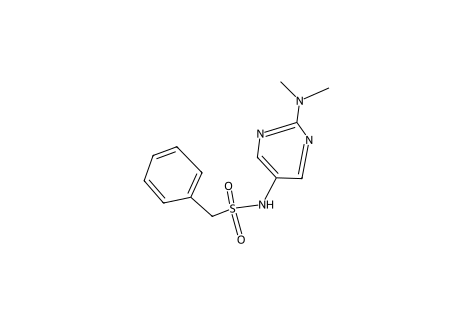 CN(C)c1ncc(NS(=O)(=O)Cc2ccccc2)cn1